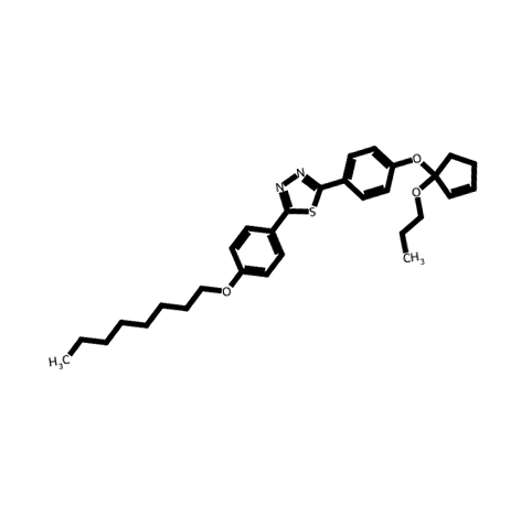 CCCCCCCCOc1ccc(-c2nnc(-c3ccc(OC4(OCCC)C=CCC4)cc3)s2)cc1